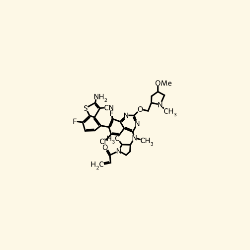 C=CC(=O)N1CCC(N(C)c2nc(OCC3CC(OC)CN3C)nc3c(F)c(-c4ccc(F)c5sc(N)c(C#N)c45)c(Cl)cc23)C1C